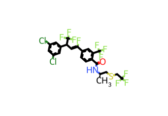 C[C@H](CSCC(F)(F)F)NC(=O)c1ccc(/C(F)=C/C(c2cc(Cl)cc(Cl)c2)C(F)(F)F)cc1C(F)(F)F